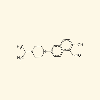 CC(C)N1CCN(c2ccc3c(C=O)c(O)ccc3c2)CC1